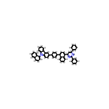 c1ccc(-c2cc(-c3ccc(-c4ccc(-c5ccc6c(c5)c5ccccc5n6-c5cccc6ccccc56)cc4)c4ccccc34)nc(-c3ccccc3)n2)cc1